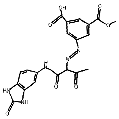 COC(=O)c1cc(/N=N/C(C(C)=O)C(=O)Nc2ccc3[nH]c(=O)[nH]c3c2)cc(C(=O)O)c1